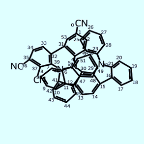 N#Cc1ccc(-n2c3ccccc3c3ccc4c5ccccc5n(-c5ccccc5)c4c32)c(-c2ccc(C#N)c(C#N)c2-n2c3ccccc3c3ccccc32)c1